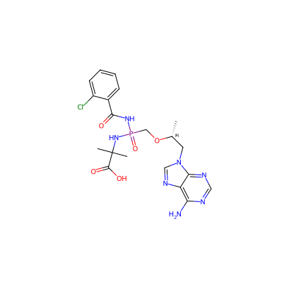 C[C@H](Cn1cnc2c(N)ncnc21)OCP(=O)(NC(=O)c1ccccc1Cl)NC(C)(C)C(=O)O